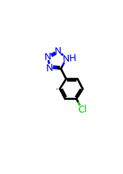 Clc1c[c]c(-c2nnn[nH]2)cc1